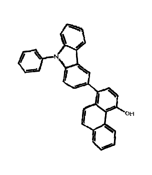 Oc1ccc(-c2ccc3c(c2)c2ccccc2n3-c2ccccc2)c2ccc3ccccc3c12